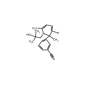 [CH2]C(C)(O)CN1C(C)=CC=C(F)C1(C)c1cccc(C#N)c1